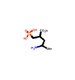 CSC(N)CC(CP(=O)(O)O)C(=O)O